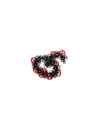 Cc1ccc(C(=O)c2ccc(Oc3ccc(C4(c5ccc(Oc6ccc(C(=O)c7ccc(Oc8ccc(S(=O)(=O)c9ccc(Oc%10ccc(C(=O)c%11ccc(C)cc%11)cc%10)cc9)cc8)cc7)cc6)cc5)c5ccccc5-c5ccccc54)cc3)cc2)cc1